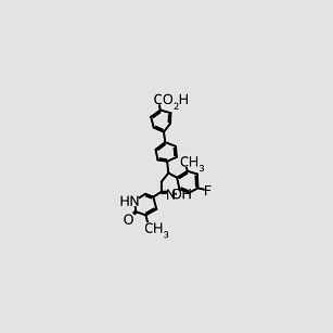 Cc1cc(F)ccc1C(C/C(=N\O)c1c[nH]c(=O)c(C)c1)c1ccc(-c2ccc(C(=O)O)cc2)cc1